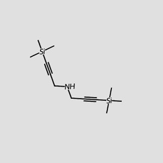 C[Si](C)(C)C#CCNCC#C[Si](C)(C)C